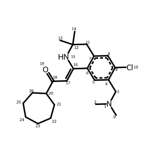 CN(C)Cc1cc2c(cc1Cl)CC(C)(C)NC2=CC(=O)C1CCCCCC1